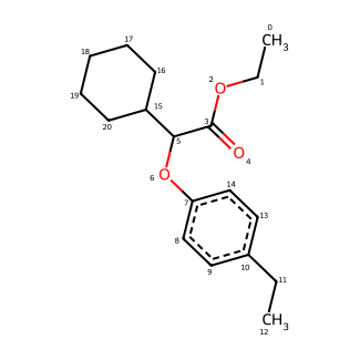 CCOC(=O)C(Oc1ccc(CC)cc1)C1CCCCC1